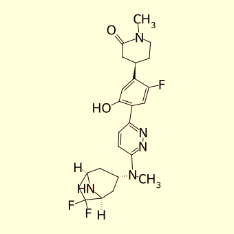 CN1CC[C@@H](c2cc(O)c(-c3ccc(N(C)[C@H]4C[C@@H]5CC(F)(F)[C@H](C4)N5)nn3)cc2F)CC1=O